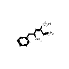 C=C/C(=C\C(N)Cc1ccccc1)C(=O)O